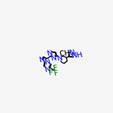 CC1C(c2cn[nH]c2)CCCN1c1ccnc(-c2cnc3cnc(C(F)(F)F)cn23)n1